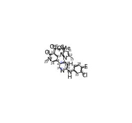 C=C(/N=C\C(=C(/N)n1nc(C(F)(F)F)cc1C)c1cc(C(=O)OC)c(=O)n(C)c1)Nc1ccc(F)c(Cl)c1